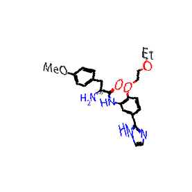 CCOCCOc1ccc(-c2ncc[nH]2)cc1NC(=O)[C@@H](N)Cc1ccc(OC)cc1